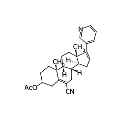 CC(=O)OC1CC[C@@]2(C)C(=C(C#N)C[C@@H]3[C@H]2CC[C@]2(C)C(c4cccnc4)=CC[C@@H]32)C1